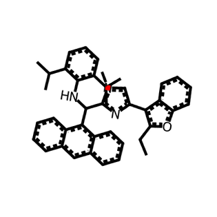 CCc1oc2ccccc2c1-c1cn(C)c(C(Nc2c(C(C)C)cccc2C(C)C)c2c3ccccc3cc3ccccc23)n1